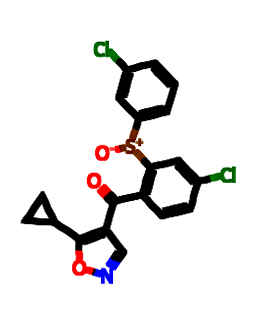 O=C(c1ccc(Cl)cc1[S+]([O-])c1cccc(Cl)c1)c1cnoc1C1CC1